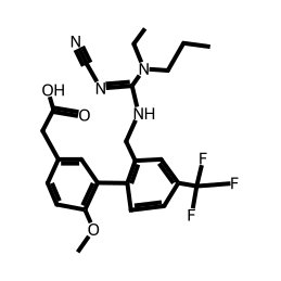 CCCN(CC)C(=NC#N)NCc1cc(C(F)(F)F)ccc1-c1cc(CC(=O)O)ccc1OC